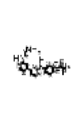 NCCNc1cc(-c2ccnc(Nc3cccc(OC(F)(F)C(F)F)c3)n2)ccn1